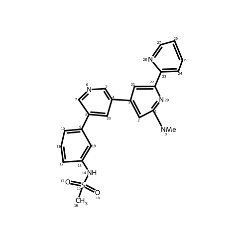 CNc1cc(-c2cncc(-c3cccc(NS(C)(=O)=O)c3)c2)cc(-c2ccccn2)n1